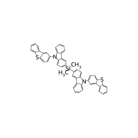 C[Si](C)(c1ccc2c(c1)c1ccccc1n2-c1ccc2sc3ccccc3c2c1)c1ccc2c(c1)c1ccccc1n2-c1ccc2sc3ccccc3c2c1